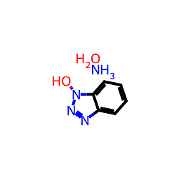 N.O.On1nnc2ccccc21